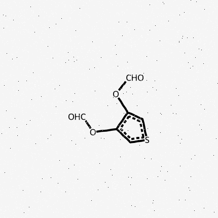 O=COc1cscc1OC=O